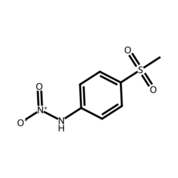 CS(=O)(=O)c1ccc(N[N+](=O)[O-])cc1